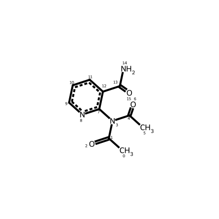 CC(=O)N(C(C)=O)c1ncccc1C(N)=O